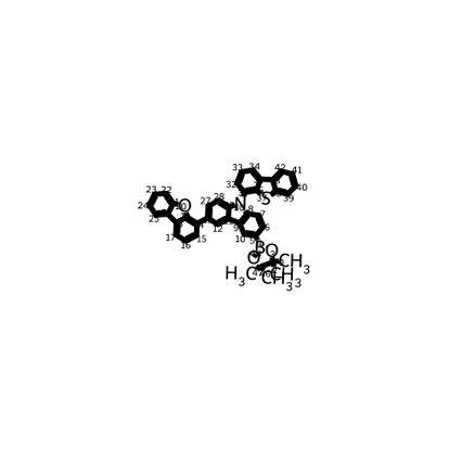 CC1(C)OB(c2ccc3c(c2)c2cc(-c4cccc5c4oc4ccccc45)ccc2n3-c2cccc3c2sc2ccccc23)OC1(C)C